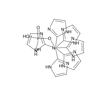 O=P(O)(O)[O][Ni]([c]1ncc[nH]1)([c]1ncc[nH]1)([c]1ncc[nH]1)([c]1ncc[nH]1)([c]1ncc[nH]1)[c]1ncc[nH]1